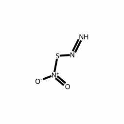 N=NS[N+](=O)[O-]